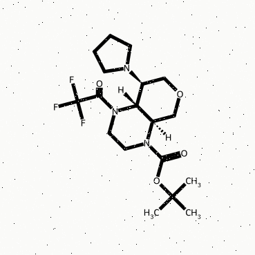 CC(C)(C)OC(=O)N1CCN(C(=O)C(F)(F)F)[C@H]2[C@H]1COC[C@@H]2N1CCCC1